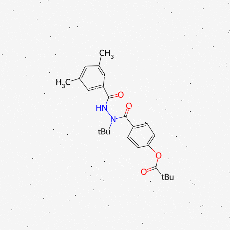 Cc1cc(C)cc(C(=O)NN(C(=O)c2ccc(OC(=O)C(C)(C)C)cc2)C(C)(C)C)c1